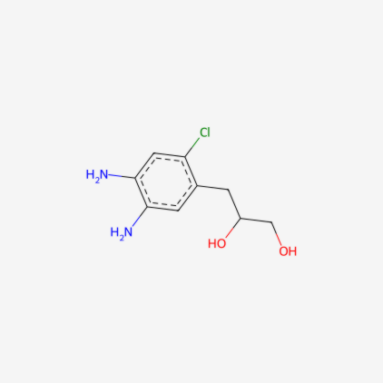 Nc1cc(Cl)c(CC(O)CO)cc1N